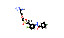 C[C@H](CS(=O)(=O)CCOCCC(=N)N)c1cc(NC(=O)c2ccc(Cl)cc2)ccc1F